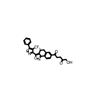 O=C(CO)CCC(=O)c1ccc2c(c1)CCc1c-2noc1-c1noc(-c2ccccc2)c1C(F)(F)F